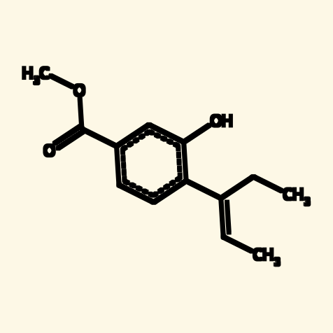 C/C=C(\CC)c1ccc(C(=O)OC)cc1O